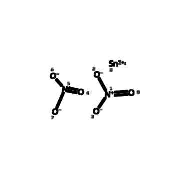 O=[N+]([O-])[O-].O=[N+]([O-])[O-].[Sn+2]